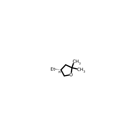 CC[C@H]1COC(C)(C)C1